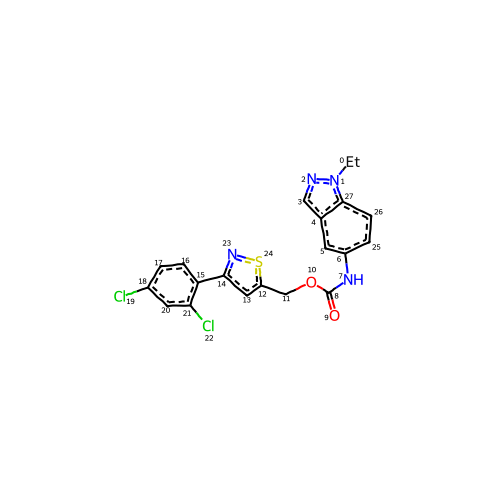 CCn1ncc2cc(NC(=O)OCc3cc(-c4ccc(Cl)cc4Cl)ns3)ccc21